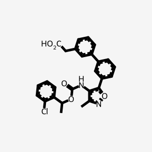 Cc1noc(-c2cccc(-c3cccc(CC(=O)O)c3)c2)c1NC(=O)OC(C)c1ccccc1Cl